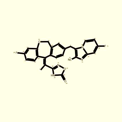 C/C(=C1/c2ccc(Cc3c(C#N)nc4cc(F)ccn34)cc2COc2cc(F)ccc21)c1noc(=O)[nH]1